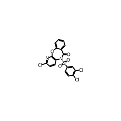 O=C1c2ccccc2Oc2nc(Cl)ccc2N1S(=O)(=O)c1ccc(Cl)c(Cl)c1